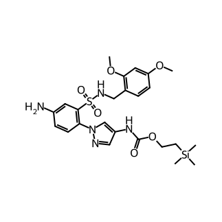 COc1ccc(CNS(=O)(=O)c2cc(N)ccc2-n2cc(NC(=O)OCC[Si](C)(C)C)cn2)c(OC)c1